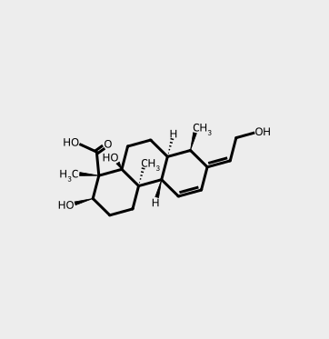 C[C@H]1/C(=C\CO)C=C[C@H]2[C@H]1CC[C@@]1(O)[C@@](C)(C(=O)O)[C@H](O)CC[C@]21C